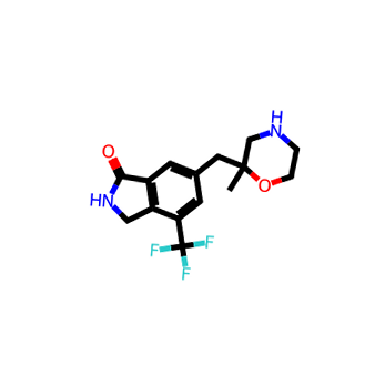 CC1(Cc2cc3c(c(C(F)(F)F)c2)CNC3=O)CNCCO1